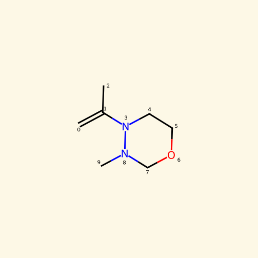 C=C(C)N1CCOCN1C